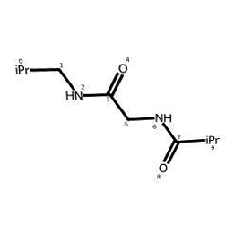 CC(C)CNC(=O)CNC(=O)C(C)C